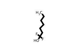 CCCCCCC(O)(F)F